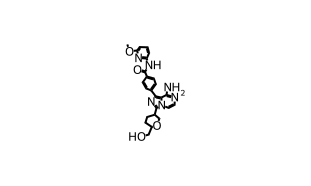 COc1cccc(NC(=O)c2ccc(-c3nc(C4CCC(CO)OC4)n4ccnc(N)c34)cc2)n1